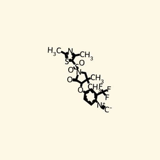 [C-]#[N+]c1ccc(OC2C(=O)N(S(=O)(=O)c3sc(C)nc3C)CC2(C)C)cc1C(F)(F)F